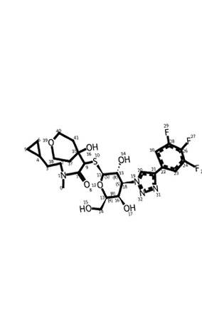 CN(CCC1CC1)C(=O)C(S[C@@H]1O[C@H](CO)[C@H](O)[C@H](n2cc(-c3cc(F)c(F)c(F)c3)nn2)[C@H]1O)C1(O)CCOCC1